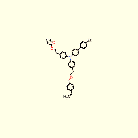 C=CC(=O)OCCc1ccc(N(c2ccc(CCOCc3ccc(C=C)cc3)cc2)c2ccc(-c3ccc(CC)cc3)cc2)cc1